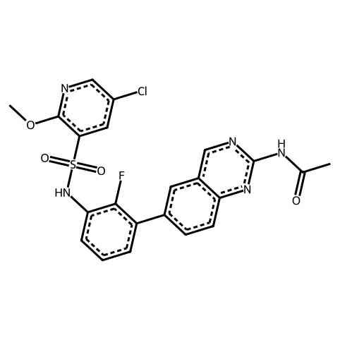 COc1ncc(Cl)cc1S(=O)(=O)Nc1cccc(-c2ccc3nc(NC(C)=O)ncc3c2)c1F